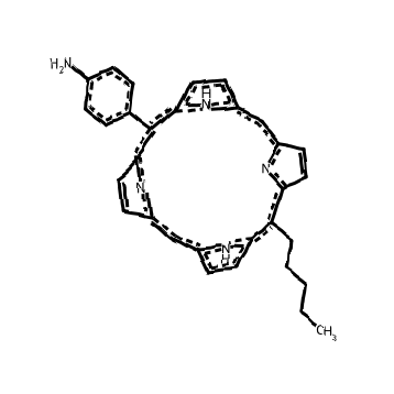 CCCCCc1c2nc(cc3ccc([nH]3)c(-c3ccc(N)cc3)c3nc(cc4ccc1[nH]4)C=C3)C=C2